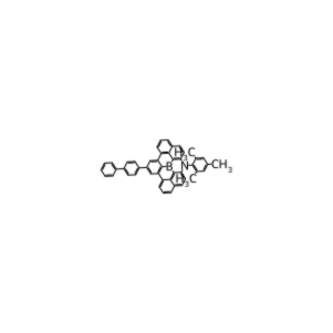 Cc1cc(C)c(N2c3ccc4cccc5c4c3B3c4c-5cc(-c5ccc(-c6ccccc6)cc5)cc4-c4cccc5ccc2c3c45)c(C)c1